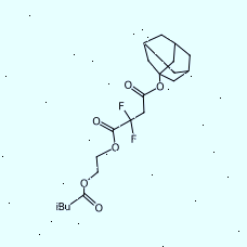 CCC(C)C(=O)OCCOC(=O)C(F)(F)CC(=O)OC12CC3CC(CC(C3)C1)C2